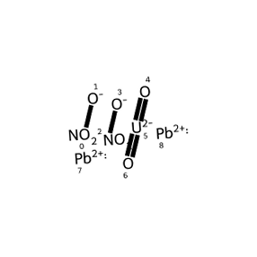 O=[N+]([O-])[O-].O=[N+]([O-])[O-].[O]=[U-2]=[O].[Pb+2].[Pb+2]